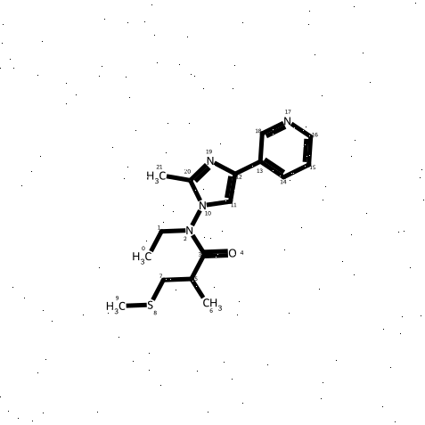 CCN(C(=O)C(C)CSC)n1cc(-c2cccnc2)nc1C